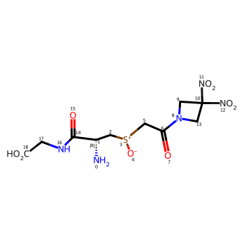 N[C@@H](C[S+]([O-])CC(=O)N1CC([N+](=O)[O-])([N+](=O)[O-])C1)C(=O)NCC(=O)O